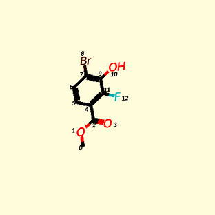 COC(=O)c1ccc(Br)c(O)c1F